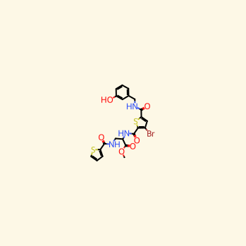 COC(=O)C(CNC(=O)c1cccs1)NC(=O)c1sc(C(=O)NCc2cccc(O)c2)cc1Br